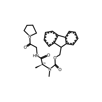 C[C@@H](C(=O)NCC(=O)N1CCCC1)N(C)C(=O)OCC1c2ccccc2-c2ccccc21